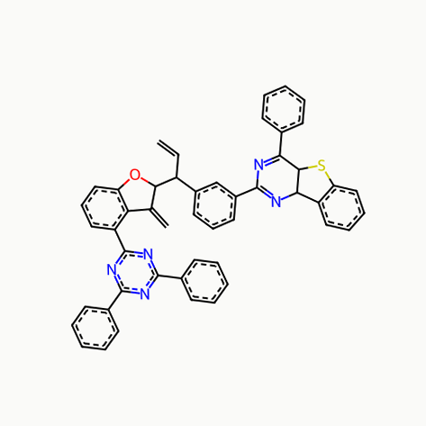 C=CC(c1cccc(C2=NC3c4ccccc4SC3C(c3ccccc3)=N2)c1)C1Oc2cccc(-c3nc(-c4ccccc4)nc(-c4ccccc4)n3)c2C1=C